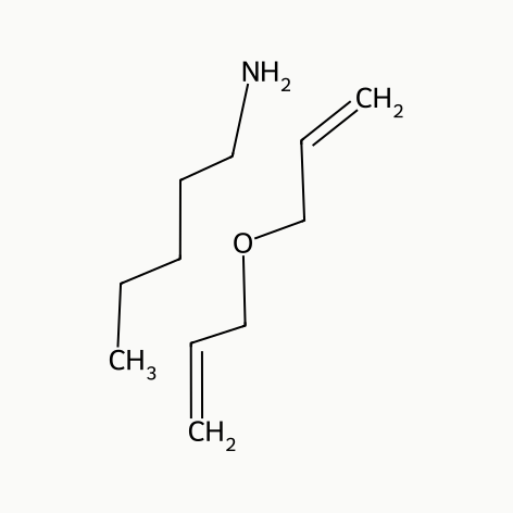 C=CCOCC=C.CCCCCN